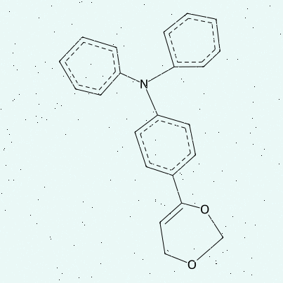 C1=C(c2ccc(N(c3ccccc3)c3ccccc3)cc2)OCOC1